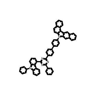 c1ccc(-c2nc(-c3ccc(-c4ccc(-n5c6cc7ccccc7cc6c6c7ccccc7ccc65)cc4)cc3)nc(-c3cccc4c3c3ccccc3n4-c3ccccc3)n2)cc1